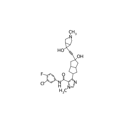 CN1CC2C(C1)C2(O)C#CC1(O)CC2CC(c3ncn(C)c3C(=O)Nc3ccc(F)c(Cl)c3)CC2C1